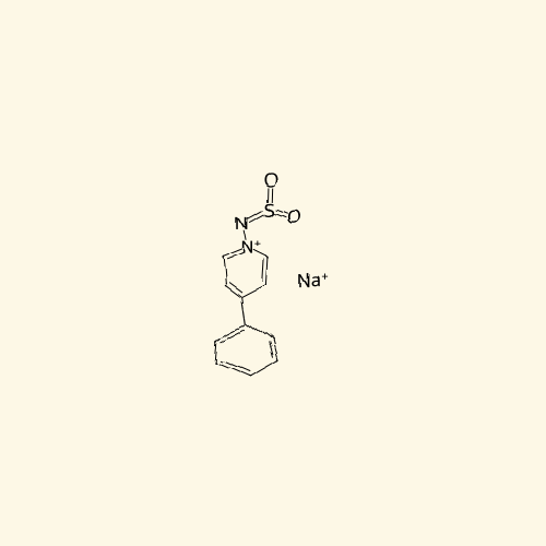 O=S(=O)=N[n+]1ccc(-c2ccccc2)cc1.[Na+]